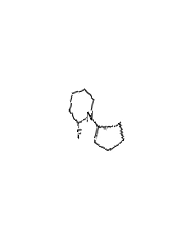 FC1CCCCN1[C]1CCCC1